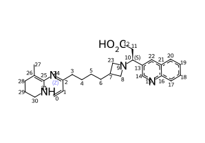 C=C/C(CCCCC1CN([C@@H](CC(=O)O)c2cnc3ccccc3c2)C1)=N\C1=C(C)CCCN1